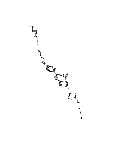 CCCCCCCCCCCCOc1ccc(C(=O)Oc2ccc(CCC3CCC(CCCCCCC)CC3)cc2C#N)cc1